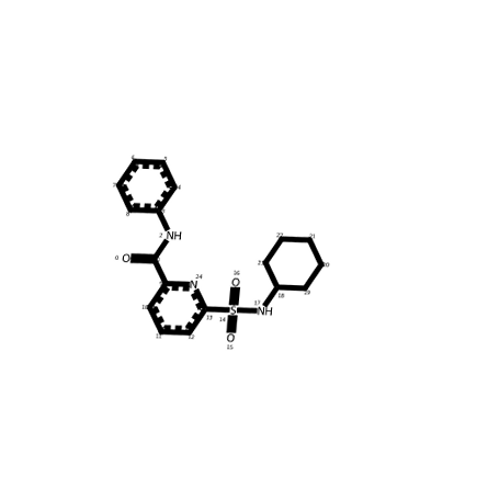 O=C(Nc1ccccc1)c1cccc(S(=O)(=O)NC2CCCCC2)n1